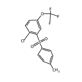 Cc1ccc(S(=O)(=O)c2cc(OC(F)(F)F)ccc2Cl)cc1